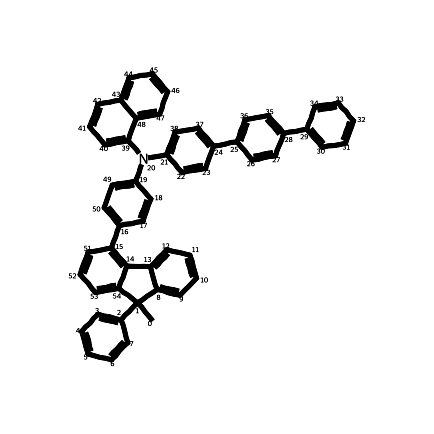 CC1(c2ccccc2)c2ccccc2-c2c(-c3ccc(N(c4ccc(-c5ccc(-c6ccccc6)cc5)cc4)c4cccc5ccccc45)cc3)cccc21